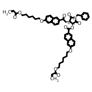 C=CC(=O)OCCCCCCOc1ccc2cc(C(=O)C[C@H]3C(=O)N(Cc4ccccc4)C(=O)[C@@H]3OC(=O)c3ccc4cc(OCCCCCCOC(=O)C=C)ccc4c3)ccc2c1